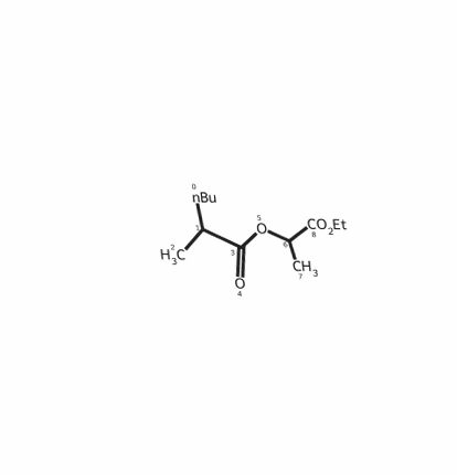 CCCCC(C)C(=O)OC(C)C(=O)OCC